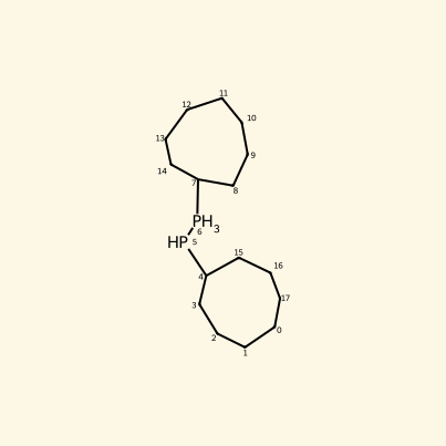 C1CCCC(P[PH3]C2CCCCCCC2)CCC1